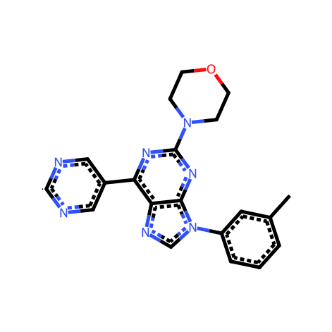 Cc1cccc(-n2cnc3c(-c4cn[c]nc4)nc(N4CCOCC4)nc32)c1